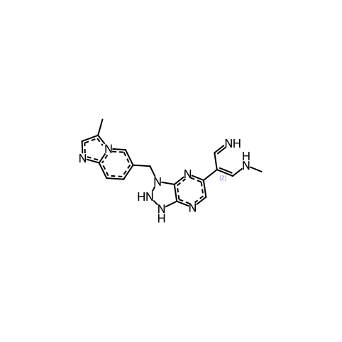 CN/C=C(\C=N)c1cnc2c(n1)N(Cc1ccc3ncc(C)n3c1)NN2